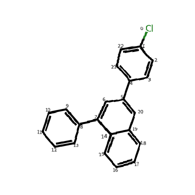 Clc1ccc(-c2cc(-c3ccccc3)c3ccccc3c2)cc1